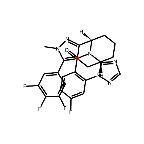 Cn1nc2c(c1-c1cc(F)c(F)c(F)c1)C[C@H]1CCC[C@@H]2N1C(=O)c1ccc(F)cc1-n1cncn1